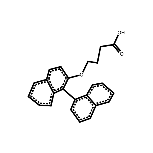 O=C(O)CCCOc1ccc2ccccc2c1-c1cccc2ccccc12